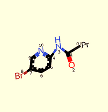 CC(C)C(=O)Nc1ccc(Br)cn1